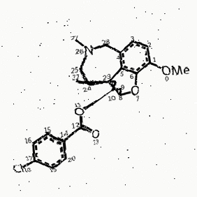 COc1ccc2c3c1OC1C[C@@H](OC(=O)c4ccc(Cl)cc4)C(C)[C@@]31CCN(C)C2